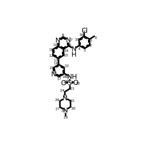 Cc1ccc(Nc2ncnc3ccc(-c4cncc(NS(=O)(=O)CCN5CCN(C)CC5)c4)cc23)cc1Cl